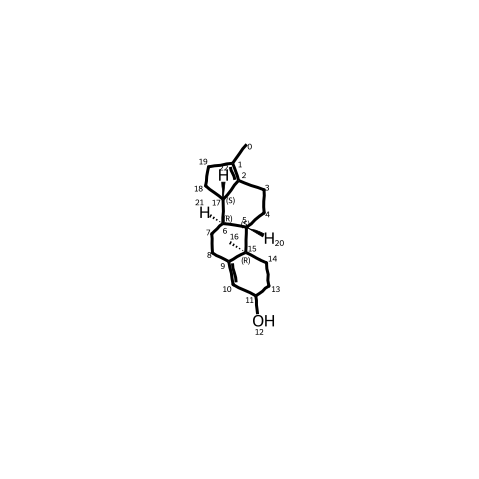 CC1=C2CC[C@H]3[C@@H](CCC4=CC(O)CC[C@@]43C)[C@@H]2CC1